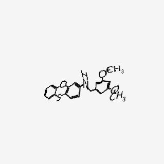 COc1cc(CNc2ccc3c(c2)Oc2ccccc2S3)cc(OC)c1